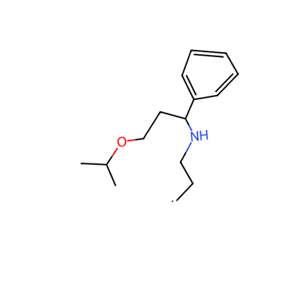 [CH2]CCNC(CCOC(C)C)c1ccccc1